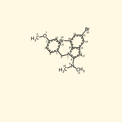 COc1ccc(Cn2c(N(C)C)nc3cc(Br)cc(Br)c32)cc1